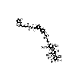 CC(=O)N[C@H]1[C@H](OCCCNC(=O)COc2ccc(-c3cccc(C(=O)NCCNC(=O)CCCC(=O)ON4C(=O)CCC4=O)c3)cc2)O[C@H](CO)[C@@H](O[C@@H]2O[C@H](CO)[C@H](O)[C@H](O[C@H]3O[C@H](CO)[C@H](O)[C@H](O)[C@H]3O)[C@H]2O)[C@@H]1O